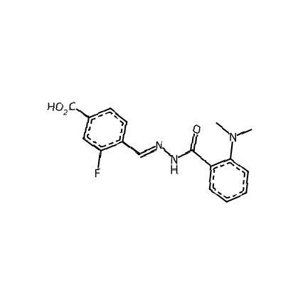 CN(C)c1ccccc1C(=O)NN=Cc1ccc(C(=O)O)cc1F